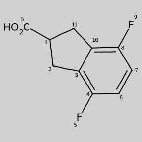 O=C(O)C1Cc2c(F)ccc(F)c2C1